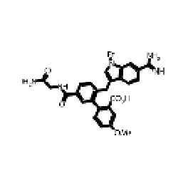 CCn1cc(Cc2ccc(C(=O)NCC(N)=O)cc2-c2ccc(OC)cc2C(=O)O)c2ccc(C(=N)N)cc21